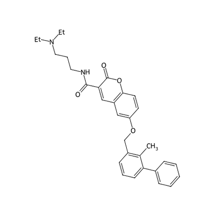 CCN(CC)CCCNC(=O)c1cc2cc(OCc3cccc(-c4ccccc4)c3C)ccc2oc1=O